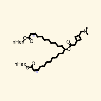 CCCCCCOC(=O)/C=C\CCCCCCCCC(CCCCCCCC/C=C\C(=O)OCCCCCC)OC(=O)CC1CC(CN(C)C)C1